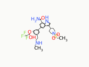 CCNCCc1cccc(-c2cc(C(N)=O)c3[nH]cc(C4CCN(S(=O)(=O)CC)CC4)c3c2)c1.O=C(O)C(F)(F)F